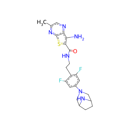 Cc1cnc2c(N)c(C(=O)NCCc3c(F)cc(N4CC5CCC(C4)N5)cc3F)sc2n1